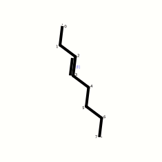 [CH2]C/C=C/CCC[CH2]